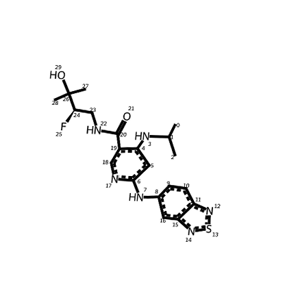 CC(C)Nc1cc(Nc2ccc3nsnc3c2)ncc1C(=O)NC[C@@H](F)C(C)(C)O